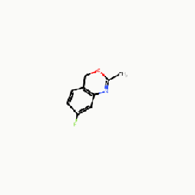 CC1=Nc2cc(F)ccc2CO1